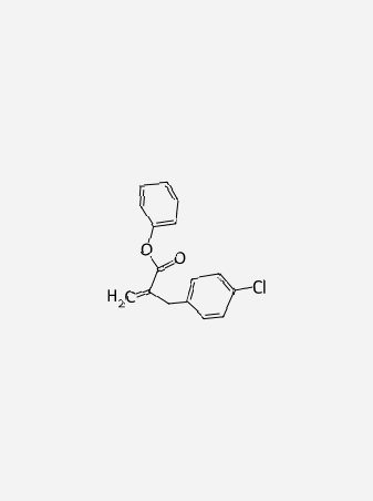 C=C(Cc1ccc(Cl)cc1)C(=O)Oc1ccccc1